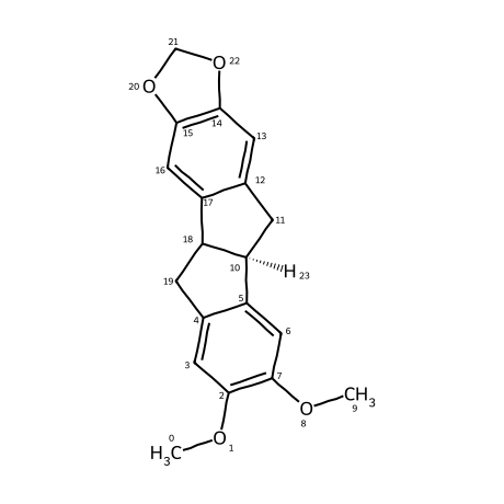 COc1cc2c(cc1OC)[C@@H]1Cc3cc4c(cc3C1C2)OCO4